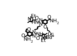 CCn1nc(C)cc1C(=O)Nc1nc2cc(C(N)=O)cc(OCCCO[Si](C)(C)C(C)(C)C)c2n1CC=CCn1c(NC(=O)c2cc(C)nn2CC)nc2cc(C(N)=O)c3ccoc3c21